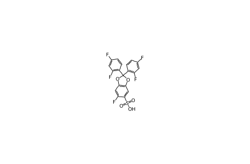 O=S(=O)(O)c1cc2c(cc1F)OC(c1ccc(F)cc1F)(c1ccc(F)cc1F)O2